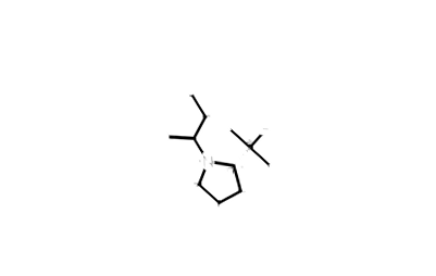 CCC(C)N1CCC[C@H]1C(C)(C)F